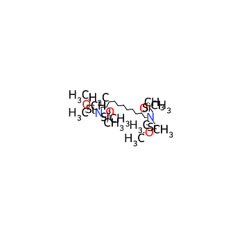 CCO[Si](C)(C)CN1CC(CCCCCCC(C)C2CN(C[Si](C)(C)OCC)C[Si](C)(C)O2)O[Si](C)(C)C1